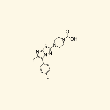 O=C(O)N1CCN(c2nn3c(-c4ccc(F)cc4)c(I)nc3s2)CC1